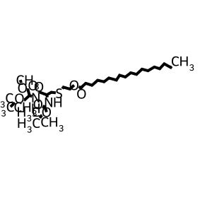 CCCCCCCCCCCCCCCCCC(=O)OCCSCC(NC(=O)OC(C)(C)C)C(=O)NC(COC(C)(C)C)C(=O)OC